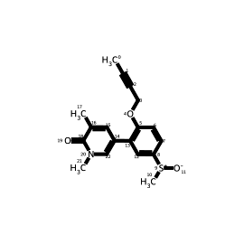 CC#CCOc1ccc([S+](C)[O-])cc1-c1cc(C)c(=O)n(C)c1